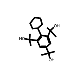 CC(C)(O)c1cc(C(C)(C)O)c(C2CCCCC2)c(C(C)(C)O)c1